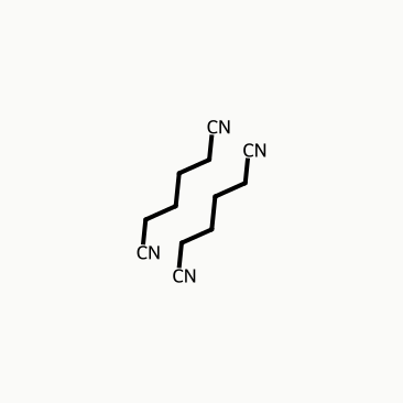 N#CCCCCC#N.N#CCCCCC#N